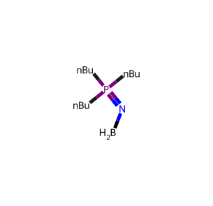 BN=P(CCCC)(CCCC)CCCC